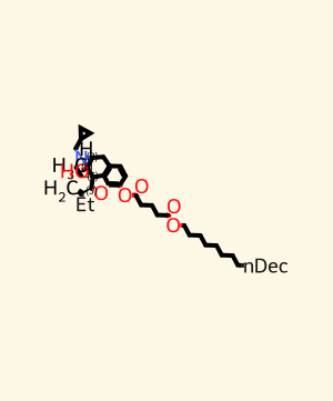 C=C(CC)[C@@H]1Oc2c(OC(=O)CCCC(=O)OCCCCCCCCCCCCCCCCCC)ccc3c2[C@@]12CCN(CC1CC1)[C@H](C3)[C@@]2(C)O